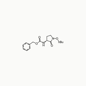 CCCCON1CC[C@H](NC(=O)OCc2ccccc2)C1=O